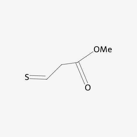 COC(=O)CC=S